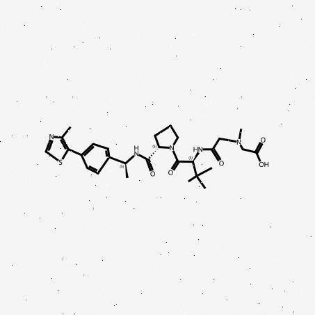 Cc1ncsc1-c1ccc([C@H](C)NC(=O)[C@@H]2CCCN2C(=O)[C@@H](NC(=O)CN(C)CC(=O)O)C(C)(C)C)cc1